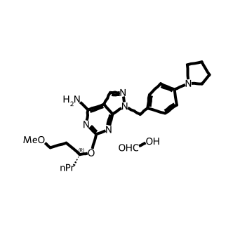 CCC[C@H](CCOC)Oc1nc(N)c2cnn(Cc3ccc(N4CCCC4)cc3)c2n1.O=CO